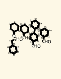 O=C1CCCCC1.O=CC1CCCCC1.O=CCc1ccccc1.O=Cc1ccc(-c2ccccc2)cc1.O=Cc1ccccc1